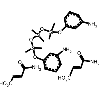 C[Si](C)(Oc1cccc(N)c1)O[Si](C)(C)O[Si](C)(C)Oc1cccc(N)c1.NC(=O)C=CC(=O)O.NC(=O)C=CC(=O)O